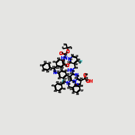 CC(CNC(=O)OC(C)(C)C)Oc1nccc(F)c1CNc1nc2c(C(=O)O)cnn2c(N(Cc2ccccc2)Cc2ccccc2)c1-c1ccc(N=C(c2ccccc2)c2ccccc2)cc1F